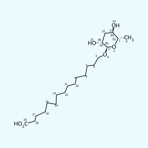 C[C@@H]1O[C@@H](OCCCCCCCCCCCCCCC(=O)O)[C@H](O)C[C@H]1O